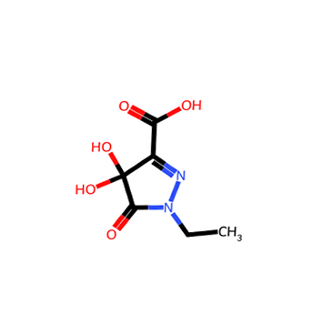 CCN1N=C(C(=O)O)C(O)(O)C1=O